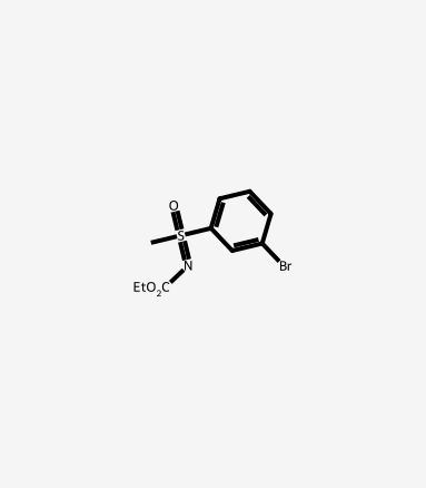 CCOC(=O)N=S(C)(=O)c1cccc(Br)c1